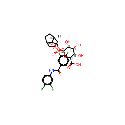 O=C(Nc1ccc(F)c(F)c1)c1ccc(Cl)c(S(=O)(=O)[C@@H]2CC3CC[C@@H](C2)[C@@]3(O)CO[C@@H]2O[C@H](C(=O)O)[C@@H](O)[C@H](O)[C@H]2O)c1